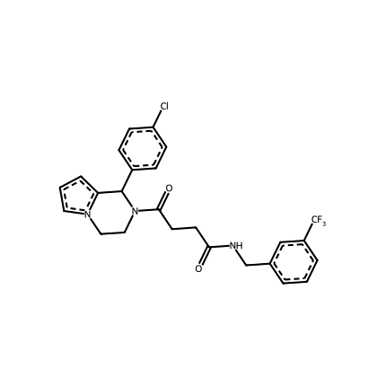 O=C(CCC(=O)N1CCn2cccc2C1c1ccc(Cl)cc1)NCc1cccc(C(F)(F)F)c1